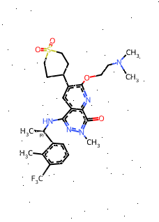 Cc1c([C@@H](C)Nc2nn(C)c(=O)c3nc(OCCN(C)C)c(C4CCS(=O)(=O)CC4)cc23)cccc1C(F)(F)F